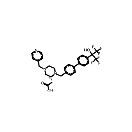 O=C(O)C[C@@H]1CN(Cc2ccncc2)CCN1Cc1ccc(-c2ccc(C(O)(C(F)(F)F)C(F)(F)F)cc2)cc1